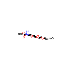 CC(C)(C)OC(=O)NCCOCCOCCOCCC=O